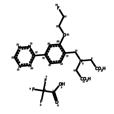 O=C(O)C(F)(F)F.O=C(O)CN(CC(=O)O)Cc1ccc(-c2nncnn2)cc1OCCF